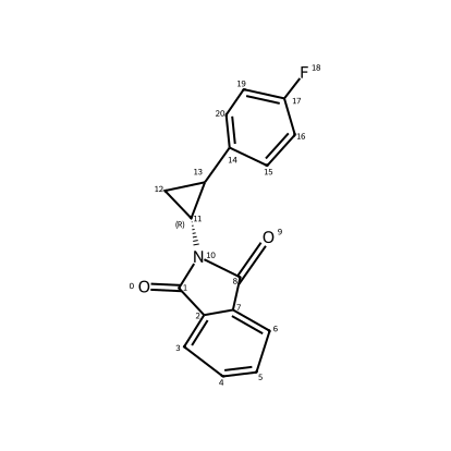 O=C1c2ccccc2C(=O)N1[C@@H]1CC1c1ccc(F)cc1